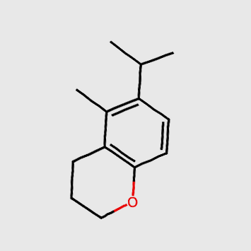 Cc1c(C(C)C)ccc2c1CCCO2